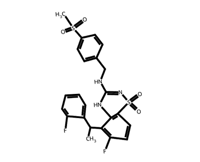 CC(c1ccccc1F)c1c(F)ccc2c1NC(NCc1ccc(S(C)(=O)=O)cc1)=NS2(=O)=O